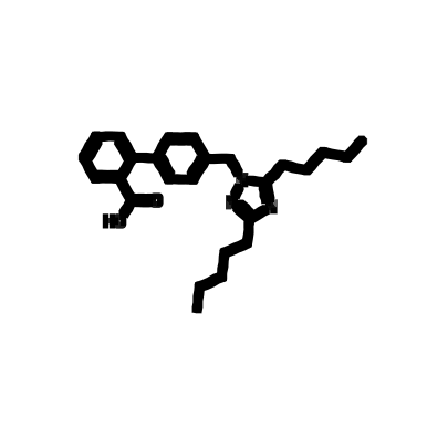 CCCCCc1nc(CCCCC)n(Cc2ccc(-c3ccccc3C(=O)O)cc2)n1